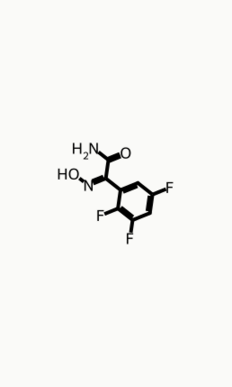 NC(=O)C(=NO)c1cc(F)cc(F)c1F